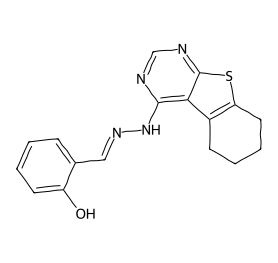 Oc1ccccc1/C=N/Nc1ncnc2sc3c(c12)CCCC3